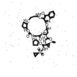 C=C[C@@H]1C[C@]1(NC(=O)[C@@H]1C[C@@H]2CN1C(=O)[C@H](C1CCCC1)NC(=O)O[C@@H]1CCC[C@H]1CCCCCc1c(nc3ccccc3c1OC)O2)C(=O)NS(=O)(=O)C1CC1